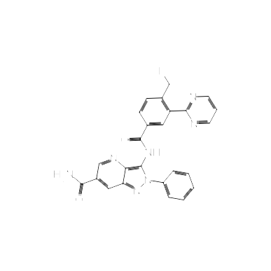 NC(=O)c1cnc2c(NC(=O)c3ccc(CF)c(-c4ncccn4)c3)n(-c3ccccc3)nc2c1